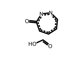 O=CO.O=c1ccccnn1